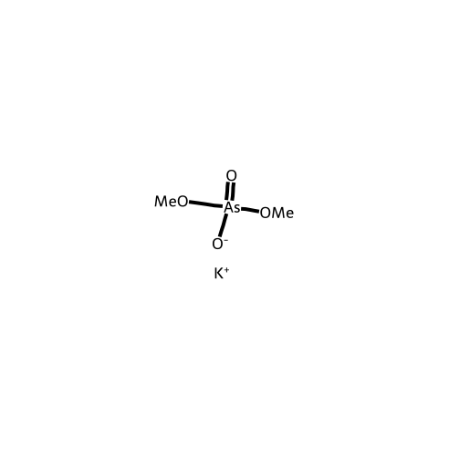 CO[As](=O)([O-])OC.[K+]